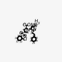 COC(=O)[C@@H]1C[C@@H](S(=O)(=O)c2ccccc2Cl)CN1c1cc(C)nn1CCc1ccccc1